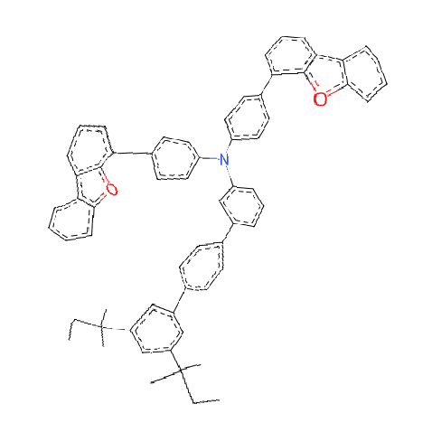 CCC(C)(C)c1cc(-c2ccc(-c3cccc(N(c4ccc(-c5cccc6c5oc5ccccc56)cc4)c4ccc(-c5cccc6c5oc5ccccc56)cc4)c3)cc2)cc(C(C)(C)CC)c1